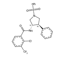 CCCS(=O)(=O)N1C[C@@H](NC(=O)c2cccc(C(F)(F)F)c2Cl)[C@H](c2ccccc2)C1